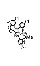 COc1nc(N(C)C)ncc1-c1nc2c(n1C(C)C)C(c1ccc(Cl)cc1F)N(c1cc(Cl)cn(C)c1=O)C2=O